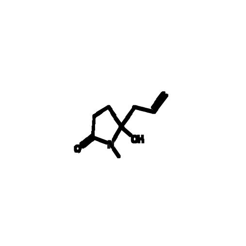 C=CCC1(O)CCC(=O)N1C